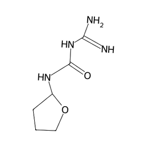 N=C(N)NC(=O)NC1CCCO1